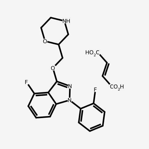 Fc1ccccc1-n1nc(OCC2CNCCO2)c2c(F)cccc21.O=C(O)C=CC(=O)O